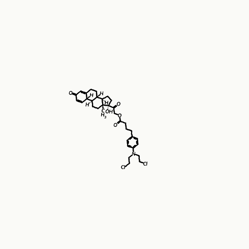 C[C@@]12CC[C@@H]3[C@H](CCC4=CC(=O)C=C[C@H]43)[C@H]1CC[C@@]2(O)C(=O)COC(=O)CCCc1ccc(N(CCCl)CCCl)cc1